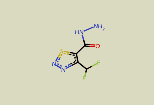 NNC(=O)c1snnc1C(F)F